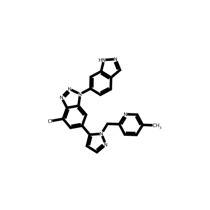 Cc1ccc(Cn2nccc2-c2cc(Cl)c3nnn(-c4ccc5cn[nH]c5c4)c3c2)nc1